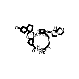 C[C@@H]1[C@@H](C)CCC[C@@H](CN2CCN3CCOC[C@H]3C2)[C@@H]2CC[C@H]2CN2C[C@@]3(CCCc4cc(Cl)ccc43)COc3ccc(cc32)C(=O)NS1(=O)=O